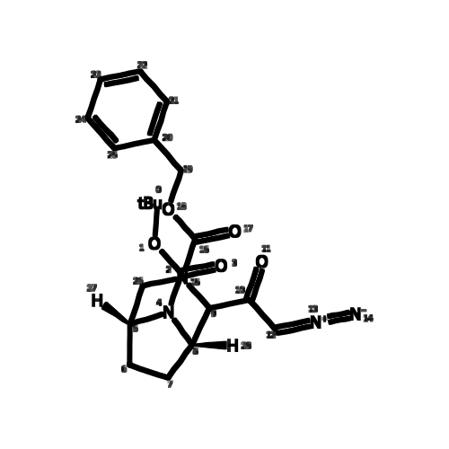 CC(C)(C)OC(=O)N1[C@@H]2CC[C@H]1C(C(=O)C=[N+]=[N-])N(C(=O)OCc1ccccc1)C2